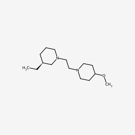 CC[C@H]1CCCN(CCN2CCC(OC)CC2)C1